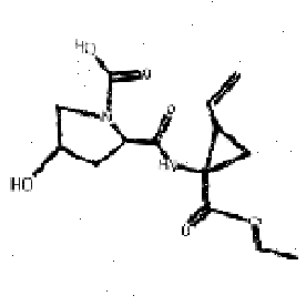 C=CC1CC1(NC(=O)C1CC(O)CN1C(=O)O)C(=O)OCC